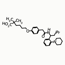 CC(C)CC(NC(=O)Cc1ccc(OCCCCC(C)(C)C(=O)O)cc1)c1ccccc1N1CCCCC1